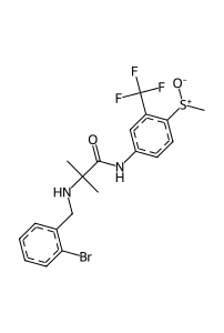 C[S+]([O-])c1ccc(NC(=O)C(C)(C)NCc2ccccc2Br)cc1C(F)(F)F